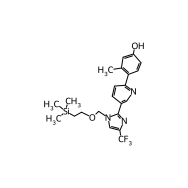 Cc1cc(O)ccc1-c1ccc(-c2nc(C(F)(F)F)cn2COCC[Si](C)(C)C)cn1